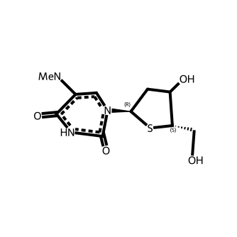 CNc1cn([C@H]2CC(O)[C@H](CO)S2)c(=O)[nH]c1=O